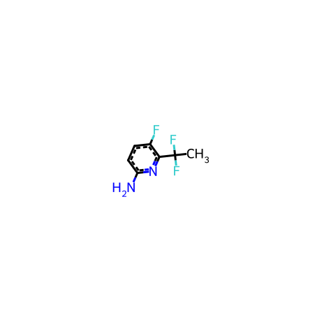 CC(F)(F)c1nc(N)ccc1F